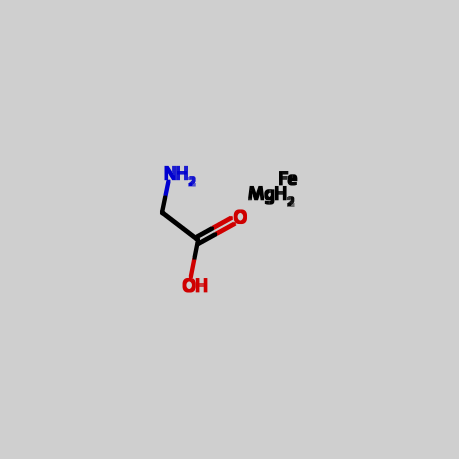 NCC(=O)O.[Fe].[MgH2]